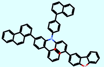 c1ccc(-c2ccc(-c3cccc4c3ccc3ccccc34)cc2N(c2ccc(-c3ccc4oc5ccccc5c4c3)cc2)c2ccc(-c3cccc4ccccc34)cc2)cc1